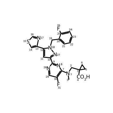 CN(CC1(C(=O)O)CC1)c1nc(-c2cc(-c3cscn3)n(Cc3ccccc3F)n2)ncc1F